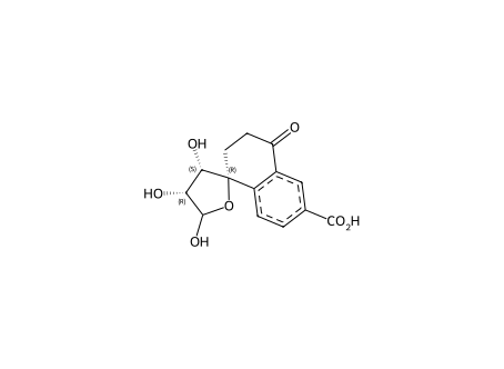 O=C(O)c1ccc2c(c1)C(=O)CC[C@@]21OC(O)[C@H](O)[C@@H]1O